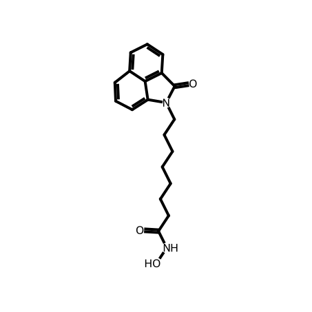 O=C(CCCCCCCN1C(=O)c2cccc3cccc1c23)NO